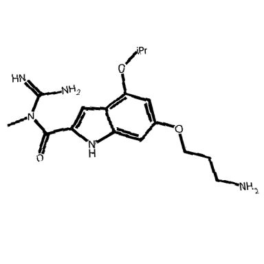 CC(C)Oc1cc(OCCCN)cc2[nH]c(C(=O)N(C)C(=N)N)cc12